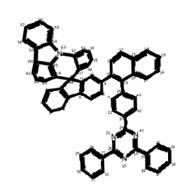 C1=CC2=C(CC1)c1ccc(-c3ccc4ccccc4c3-c3ccc(-c4nc(-c5ccccc5)nc(-c5ccccc5)n4)cc3)cc1C21c2ccccc2-n2c3ccccc3c3cccc1c32